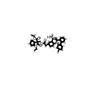 CCOC(=O)C(COC(=O)Cc1ccc(NC(=O)c2ccccc2-c2ccc(C)cc2)c(C(=O)NC)c1)(C(=O)OCC)c1ccccc1